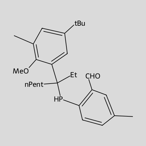 CCCCCC(CC)(Pc1ccc(C)cc1C=O)c1cc(C(C)(C)C)cc(C)c1OC